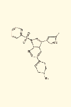 Cn1cc(-c2cn(S(=O)(=O)c3ccccc3)c3ncc(C4=CCC(C(C)(C)C)CC4)cc23)cn1